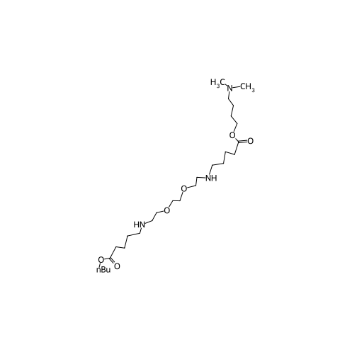 CCCCOC(=O)CCCCNCCOCCOCCNCCCCC(=O)OCCCCN(C)C